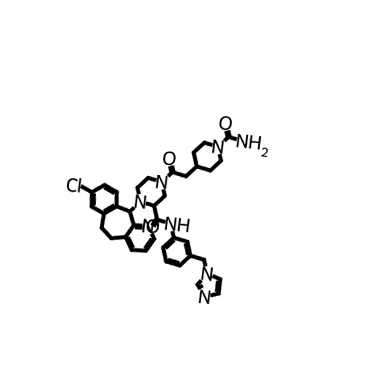 NC(=O)N1CCC(CC(=O)N2CCN(C3c4ccc(Cl)cc4CCc4cccnc43)C(C(=O)Nc3cccc(Cn4ccnc4)c3)C2)CC1